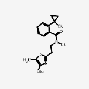 CCN(CCc1nc(C(C)(C)C)c(C)o1)C(=O)c1ccccc1C1(C#N)CC1